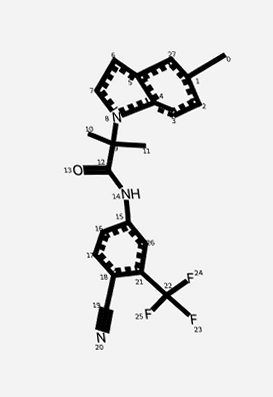 Cc1ccc2c(ccn2C(C)(C)C(=O)Nc2ccc(C#N)c(C(F)(F)F)c2)c1